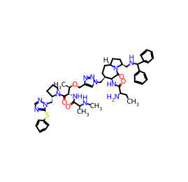 CC[C@H](N)C(=O)N[C@@H]1C(=O)N2[C@@H](CC[C@@H]1Cn1cc(CO[C@H](C)[C@H](NC(=O)[C@H](C)NC)C(=O)N3CCC[C@H]3Cn3ncnc3Sc3ccccc3)nn1)CC[C@H]2CNC(c1ccccc1)c1ccccc1